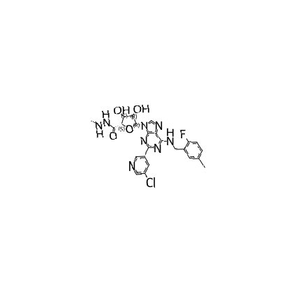 CNNC(=O)[C@H]1O[C@@H](n2cnc3c(NCc4cc(C)ccc4F)nc(-c4cncc(Cl)c4)nc32)[C@H](O)[C@@H]1O